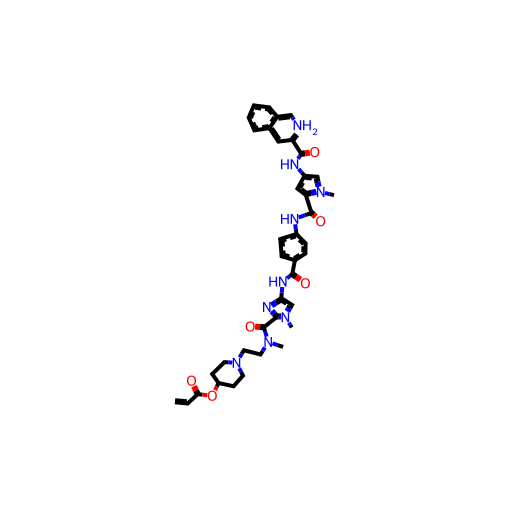 C=CC(=O)OC1CCN(CCN(C)C(=O)c2nc(NC(=O)c3ccc(NC(=O)c4cc(NC(=O)C(=C)/C=c5/cccc/c5=C/N)cn4C)cc3)cn2C)CC1